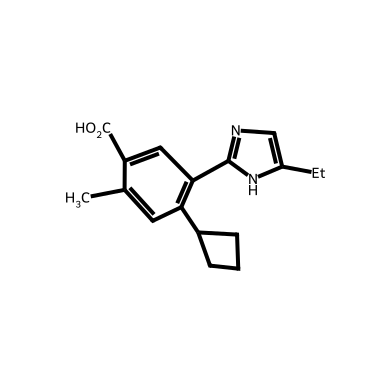 CCc1cnc(-c2cc(C(=O)O)c(C)cc2C2CCC2)[nH]1